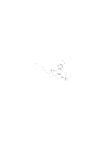 CN(C)c1ccc(C2C[C@]3(C)C(CC[C@]3(O)CCCOC3CCCCO3)C3CC[C@@]4(O)CC5(CCC4=C23)OCCO5)cc1